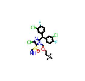 C[Si](C)(C)CCOCn1c(C(c2ccc(F)c(Cl)c2)c2ccc(F)c(Cl)c2)nc(Cl)c1[S+]([O-])C=N